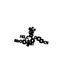 COc1ccc(S(=O)(=O)Nc2ccc(Oc3ccc4cc(C#N)ccc4c3)c(-c3ccsc3C(=O)O)c2)cc1.O=C(O)C(F)(F)F